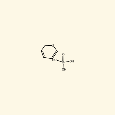 C1=CCSC=C1.O=P(O)(O)O